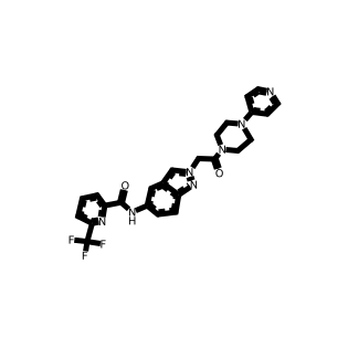 O=C(Nc1ccc2nn(CC(=O)N3CCN(c4ccncc4)CC3)cc2c1)c1cccc(C(F)(F)F)n1